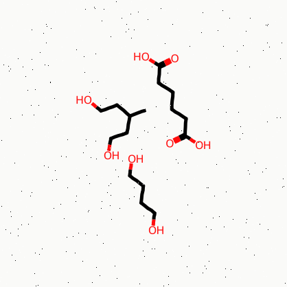 CC(CCO)CCO.O=C(O)CCCCC(=O)O.OCCCCO